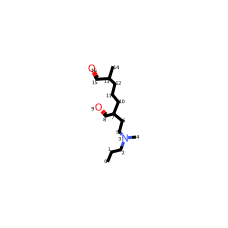 CCCN(C)CCC(C=O)CCCC(C)C=O